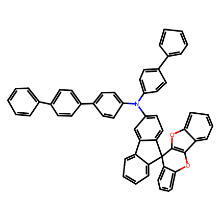 c1ccc(-c2ccc(-c3ccc(N(c4ccc(-c5ccccc5)cc4)c4ccc5c(c4)-c4ccccc4C54c5ccccc5Oc5c4oc4ccccc54)cc3)cc2)cc1